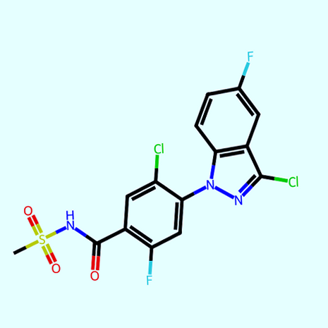 CS(=O)(=O)NC(=O)c1cc(Cl)c(-n2nc(Cl)c3cc(F)ccc32)cc1F